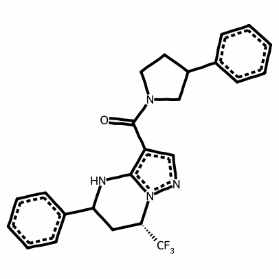 O=C(c1cnn2c1NC(c1ccccc1)C[C@H]2C(F)(F)F)N1CCC(c2ccccc2)C1